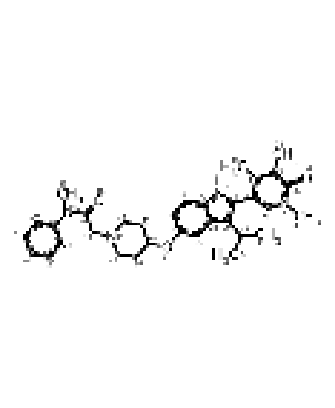 Cc1c(-c2[nH]c3ccc(OC4CCN(CC(=O)N(C)c5ccccc5)CC4)cc3c2C(C)C)cn(C)c(=O)c1C